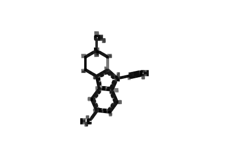 C#Cn1c2c(c3cc(C)ccc31)CCN(C)C2